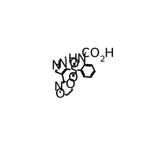 Cn1ncc(C2=NOCCO2)c1S(=O)(=O)c1ccccc1NC(=O)O